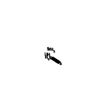 [LiH].[SiH2]=S.[SrH2]